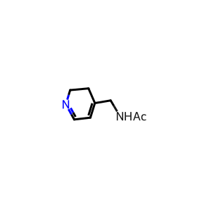 CC(=O)NCC1=CC=NCC1